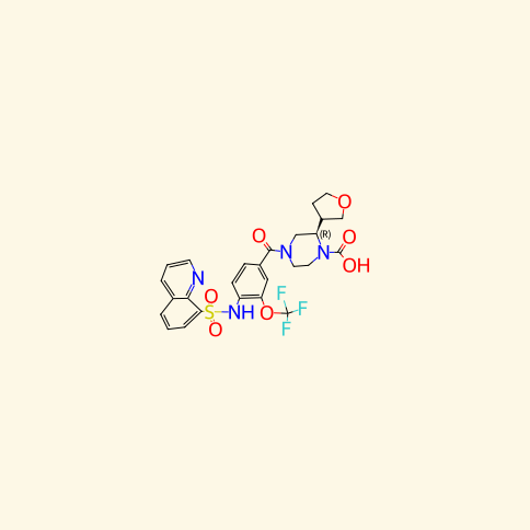 O=C(c1ccc(NS(=O)(=O)c2cccc3cccnc23)c(OC(F)(F)F)c1)N1CCN(C(=O)O)[C@H](C2CCOC2)C1